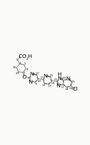 O=C(O)CC1CCC(Oc2ncc(-c3ccc(-c4nc5cc(Cl)cnc5[nH]4)cn3)cn2)CC1